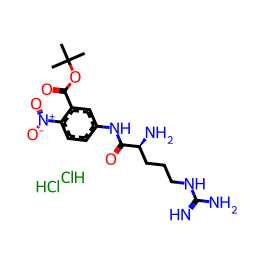 CC(C)(C)OC(=O)c1cc(NC(=O)[C@@H](N)CCCNC(=N)N)ccc1[N+](=O)[O-].Cl.Cl